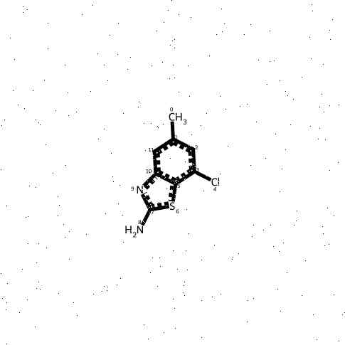 Cc1cc(Cl)c2sc(N)nc2c1